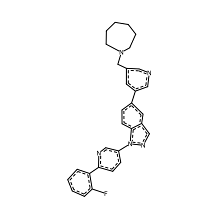 Fc1ccccc1-c1ccc(-n2ncc3cc(-c4cncc(CN5CCCCCC5)c4)ccc32)cn1